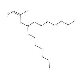 CC=C(C)CN(CCCCCCC)CCCCCCC